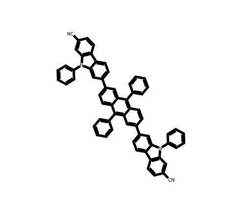 N#Cc1ccc2c3ccc(-c4ccc5c(-c6ccccc6)c6cc(-c7ccc8c9ccc(C#N)cc9n(-c9ccccc9)c8c7)ccc6c(-c6ccccc6)c5c4)cc3n(-c3ccccc3)c2c1